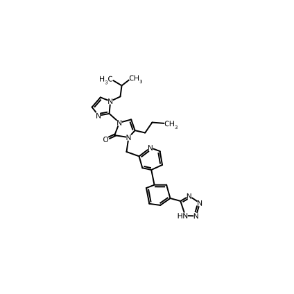 CCCc1cn(-c2nccn2CC(C)C)c(=O)n1Cc1cc(-c2cccc(-c3nnn[nH]3)c2)ccn1